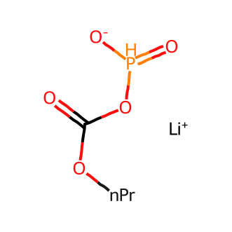 CCCOC(=O)O[PH](=O)[O-].[Li+]